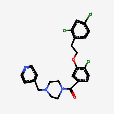 O=C(c1ccc(Cl)c(OCCc2ccc(Cl)cc2Cl)c1)N1CCN(Cc2ccncc2)CC1